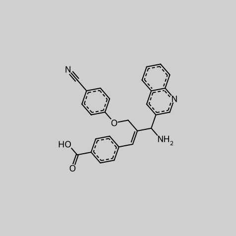 N#Cc1ccc(OC/C(=C\c2ccc(C(=O)O)cc2)C(N)c2cnc3ccccc3c2)cc1